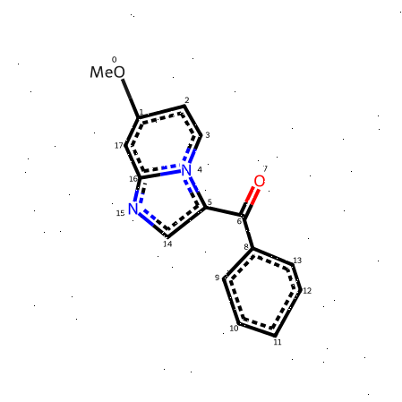 COc1ccn2c(C(=O)c3ccccc3)cnc2c1